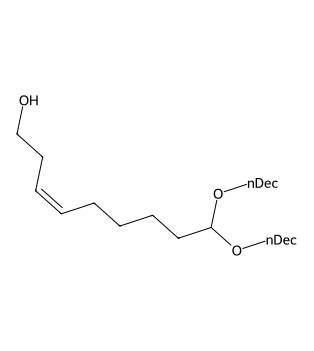 CCCCCCCCCCOC(CCCC/C=C\CCO)OCCCCCCCCCC